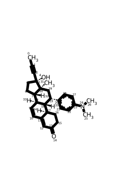 CC#C[C@]1(O)CC[C@H]2[C@@H]3C=CC4=CC(=O)CC[C@@H]4[C@H]3[C@@H](c3ccc(N(C)C)cc3)C[C@@]21C